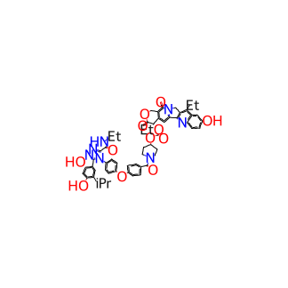 CCNC(=O)c1nnc(-c2cc(C(C)C)c(O)cc2O)n1-c1ccc(Oc2ccc(C(=O)N3CCC(OC(=O)OC4(CC)C(=O)OCc5c4cc4n(c5=O)Cc5c-4nc4ccc(O)cc4c5CC)CC3)cc2)cc1